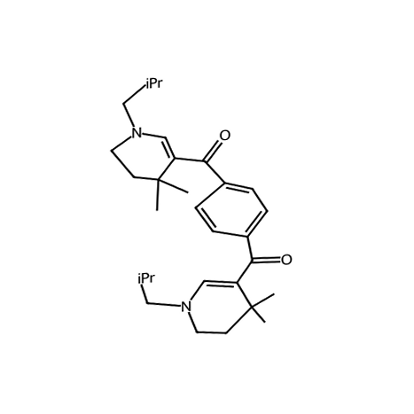 CC(C)CN1C=C(C(=O)c2ccc(C(=O)C3=CN(CC(C)C)CCC3(C)C)cc2)C(C)(C)CC1